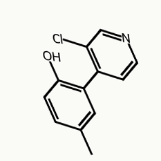 Cc1ccc(O)c(-c2ccncc2Cl)c1